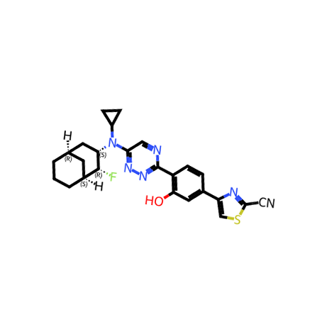 N#Cc1nc(-c2ccc(-c3ncc(N(C4CC4)[C@H]4C[C@@H]5CCC[C@@H](C5)[C@H]4F)nn3)c(O)c2)cs1